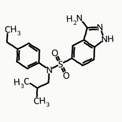 CCc1ccc(N(CC(C)C)S(=O)(=O)c2ccc3[nH]nc(N)c3c2)cc1